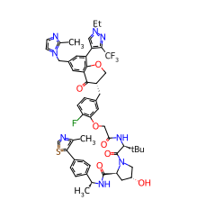 CCn1cc(-c2cc(Cn3ccnc3C)cc3c2OC[C@H](Cc2ccc(F)c(OCC(=O)N[C@H](C(=O)N4C[C@H](O)C[C@H]4C(=O)N[C@@H](C)c4ccc(-c5scnc5C)cc4)C(C)(C)C)c2)C3=O)c(C(F)(F)F)n1